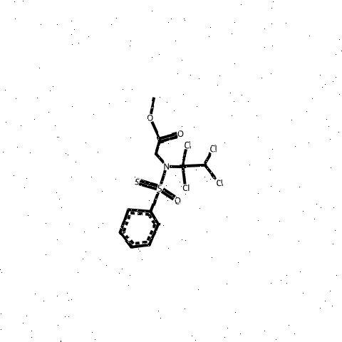 COC(=O)CN(C(Cl)(Cl)C(Cl)Cl)S(=O)(=S)c1ccccc1